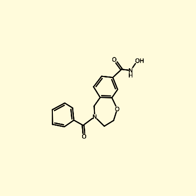 O=C(NO)c1ccc2c(c1)OCCN(C(=O)c1ccccc1)C2